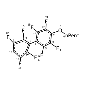 CCCCCOc1c(F)c(F)c(-c2c(F)c(F)[c]c(F)c2F)c(F)c1F